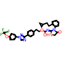 O=C1CS/C(=N\C(O)OCCc2ccc(-c3ncn(-c4ccc(OC(F)(F)F)cc4)n3)cc2)N1c1ccccc1CCC1CC1